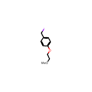 COCCOc1ccc(CI)cc1